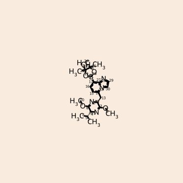 COC1=N[C@H](C(C)C)C(OC)=N[C@H]1Cc1ccc(B2OC(C)(C)C(C)(C)O2)c2nccn12